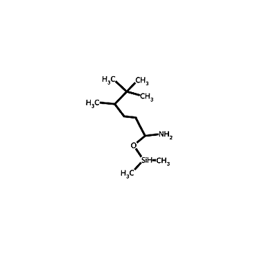 CC(CCC(N)O[SiH](C)C)C(C)(C)C